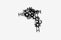 [CH2]C1(C(=O)C2CCNC(Cc3cc(C(=O)NCC)c(C4C=NN=N4)c(-c4cc(C(C)C)c(O)cc4O)c3)C2)CCNCC1